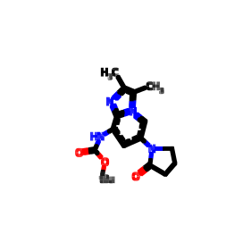 Cc1nc2c(NC(=O)OC(C)(C)C)cc(N3CCCC3=O)cn2c1C